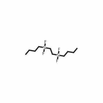 CCCC[Si](F)(F)CC[Si](F)(F)CCCC